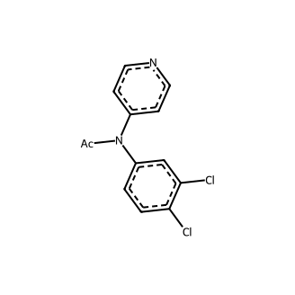 CC(=O)N(c1ccncc1)c1ccc(Cl)c(Cl)c1